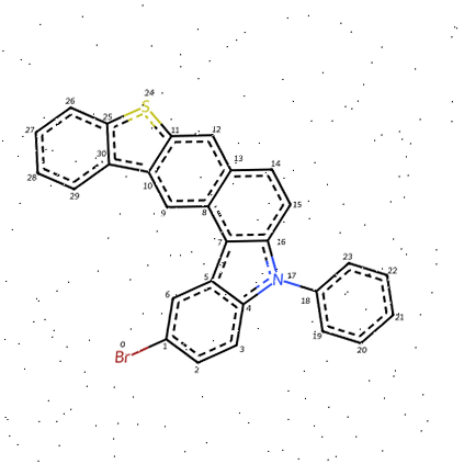 Brc1ccc2c(c1)c1c3cc4c(cc3ccc1n2-c1ccccc1)sc1ccccc14